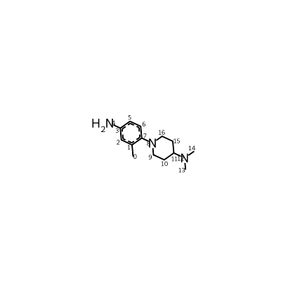 Cc1cc(N)ccc1N1CCC(N(C)C)CC1